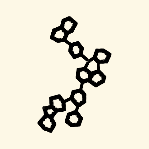 c1ccc(-c2ccc(-c3ccc(N(c4ccc(-c5cccc6ccccc56)cc4)c4ccccc4-c4ccccc4)cc3)cc2-c2ccc3oc4ccccc4c3c2)cc1